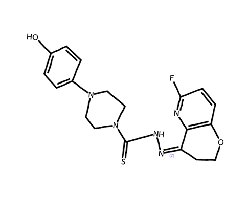 Oc1ccc(N2CCN(C(=S)N/N=C3/CCOc4ccc(F)nc43)CC2)cc1